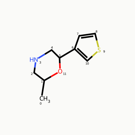 CC1CNCC(c2ccsc2)O1